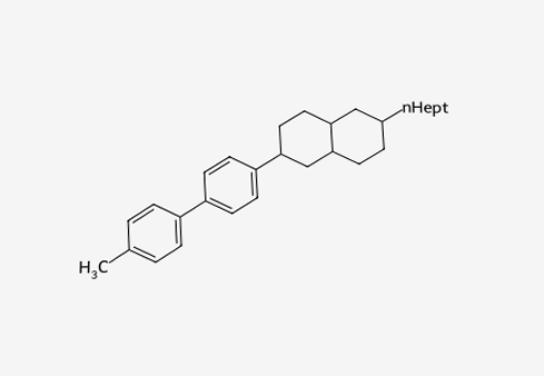 CCCCCCCC1CCC2CC(c3ccc(-c4ccc(C)cc4)cc3)CCC2C1